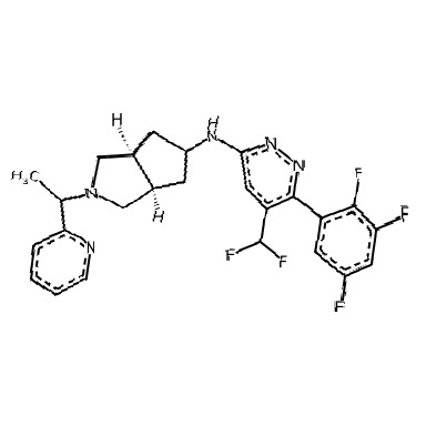 CC(c1ccccn1)N1C[C@H]2CC(Nc3cc(C(F)F)c(-c4cc(F)cc(F)c4F)nn3)C[C@H]2C1